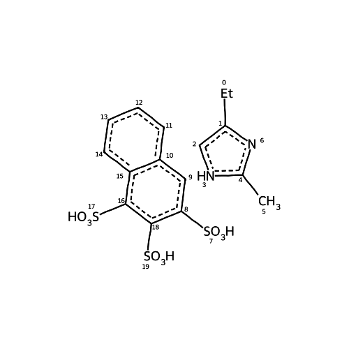 CCc1c[nH]c(C)n1.O=S(=O)(O)c1cc2ccccc2c(S(=O)(=O)O)c1S(=O)(=O)O